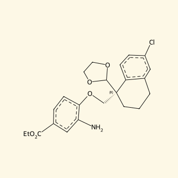 CCOC(=O)c1ccc(OC[C@@]2(C3OCCO3)CCCc3cc(Cl)ccc32)c(N)c1